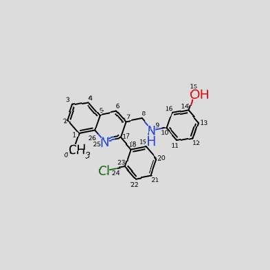 Cc1cccc2cc(CNc3cccc(O)c3)c(-c3ccccc3Cl)nc12